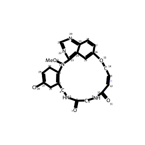 CON1C2=C(CNC(=O)CNC(=O)/C=C\COc3ccc4ncnc1c4c3)CC(Cl)=CC2